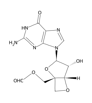 Nc1nc2c(ncn2[C@@H]2O[C@@]3(COC=O)CO[C@H]3[C@H]2O)c(=O)[nH]1